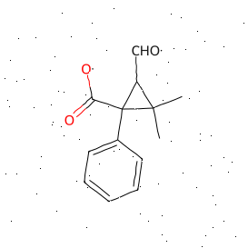 CC1(C)C([C]=O)C1(C([O])=O)c1ccccc1